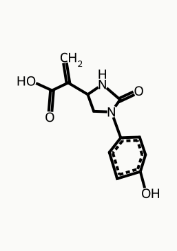 C=C(C(=O)O)C1CN(c2ccc(O)cc2)C(=O)N1